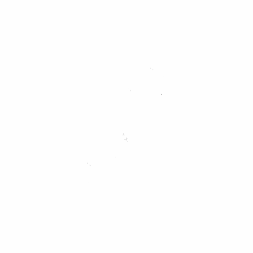 c1ccc(-c2nc(-c3ccccc3)nc(-c3cccc4sc5ccc(-c6cccc7c6c6ccccc6n7-c6ccccc6)cc5c34)n2)cc1